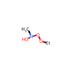 CCOON(C)O